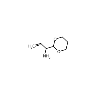 C=CC(N)C1OCCCO1